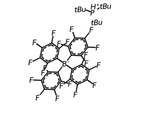 CC(C)(C)[PH+](C(C)(C)C)C(C)(C)C.Fc1c(F)c(F)c([B-](c2c(F)c(F)c(F)c(F)c2F)(c2c(F)c(F)c(F)c(F)c2F)c2c(F)c(F)c(F)c(F)c2F)c(F)c1F